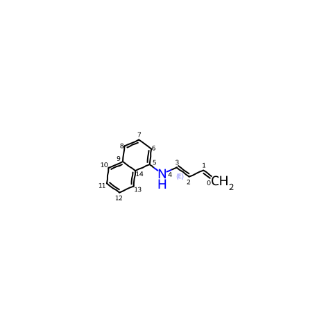 C=C/C=C/Nc1cccc2ccccc12